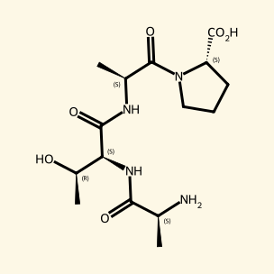 C[C@H](N)C(=O)N[C@H](C(=O)N[C@@H](C)C(=O)N1CCC[C@H]1C(=O)O)[C@@H](C)O